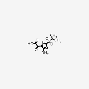 CC(C)S(=O)(=O)c1nc(C(=O)C(=O)O)c(N)s1